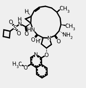 COc1cnc(O[C@@H]2C[C@H]3C(=O)N[C@]4(C(=O)NS(=O)(=O)C5CCC5)C[C@H]4C=CCCC(C)C[C@@H](C)[C@H](N)C(=O)N3C2)c2ccccc12